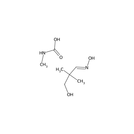 CC(C)(/C=N/O)CO.CNC(=O)O